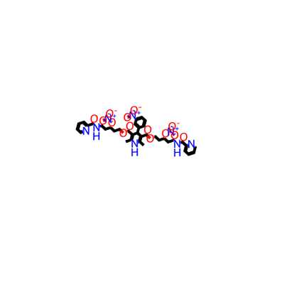 CC1=C(C(=O)OCCC(CCNC(=O)c2ccccn2)O[N+](=O)[O-])C(c2cccc([N+](=O)[O-])c2)C(C(=O)OCCC(CCNC(=O)c2ccccn2)O[N+](=O)[O-])=C(C)N1